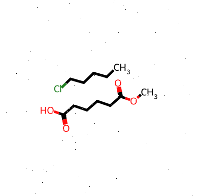 CCCCCCl.COC(=O)CCCCC(=O)O